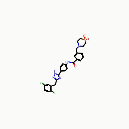 O=C(Nc1ccc(-c2nc(Cc3cc(Cl)ccc3Cl)n[nH]2)cc1)c1cccc(CN2CCS(=O)(=O)CC2)c1